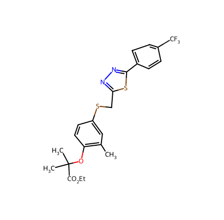 CCOC(=O)C(C)(C)Oc1ccc(SCc2nnc(-c3ccc(C(F)(F)F)cc3)s2)cc1C